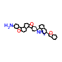 Nc1ccc2c(c1)oc1ccc3c(ccc4oc5c(c43)C=CC(N)(c3cccc4cc(-c6cc7ccccc7o6)ccc34)C5)c12